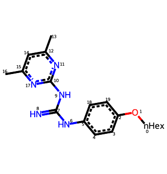 CCCCCCOc1ccc(NC(=N)Nc2nc(C)cc(C)n2)cc1